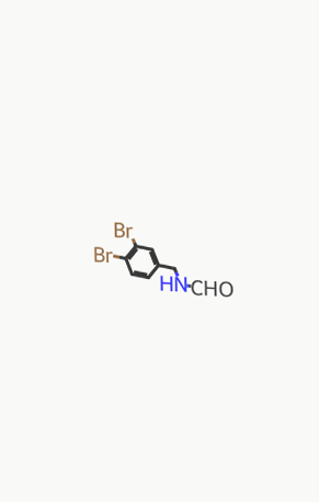 O=CNCc1ccc(Br)c(Br)c1